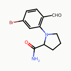 NC(=O)C1CCCN1c1cc(Br)ccc1C=O